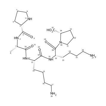 C[C@H](NC(=O)[C@@H]1CCCN1)C(=O)N[C@@H](CCCCN)C(=O)N[C@@H](CCCCN)C(=O)N1CCC[C@H]1C(=O)O